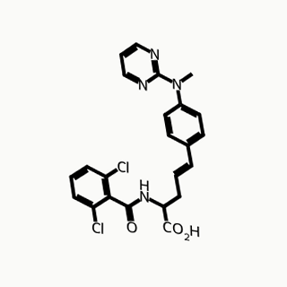 CN(c1ccc(C=CCC(NC(=O)c2c(Cl)cccc2Cl)C(=O)O)cc1)c1ncccn1